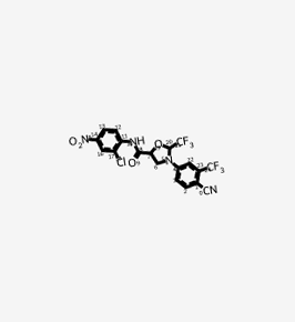 N#Cc1ccc(N2CC(C(=O)Nc3ccc([N+](=O)[O-])cc3Cl)OC2C(F)(F)F)cc1C(F)(F)F